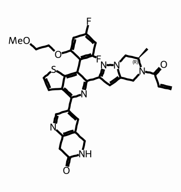 C=CC(=O)N1Cc2cc(-c3nc(-c4cnc5c(c4)CNC(=O)C5)c4ccsc4c3-c3c(F)cc(F)cc3OCCOC)nn2C[C@H]1C